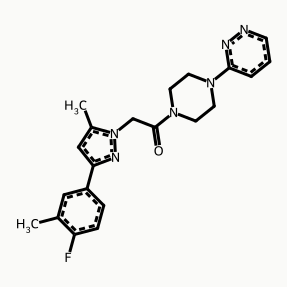 Cc1cc(-c2cc(C)n(CC(=O)N3CCN(c4cccnn4)CC3)n2)ccc1F